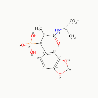 CC(C(=O)N[C@@H](C)C(=O)O)C(c1ccc2c(c1)OCO2)P(=O)(O)O